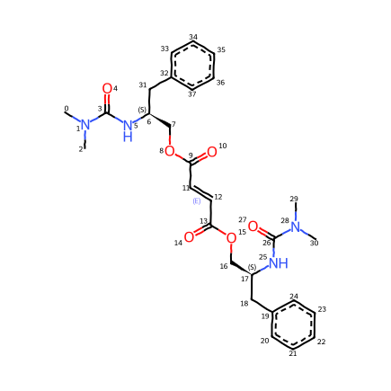 CN(C)C(=O)N[C@H](COC(=O)/C=C/C(=O)OC[C@H](Cc1ccccc1)NC(=O)N(C)C)Cc1ccccc1